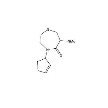 CNC1CSCCN(C2C=CCC2)C1=O